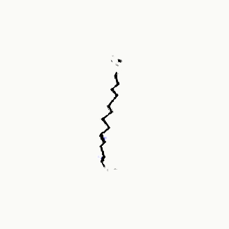 CCCCCCC/C=C/C/C=C/CCCCCCCCOS(C)(=O)=O